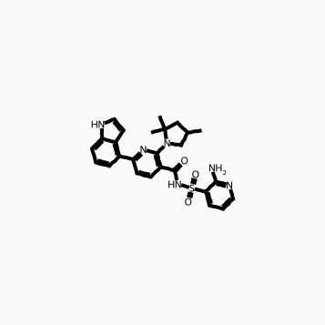 CC1CN(c2nc(-c3cccc4[nH]ccc34)ccc2C(=O)NS(=O)(=O)c2cccnc2N)C(C)(C)C1